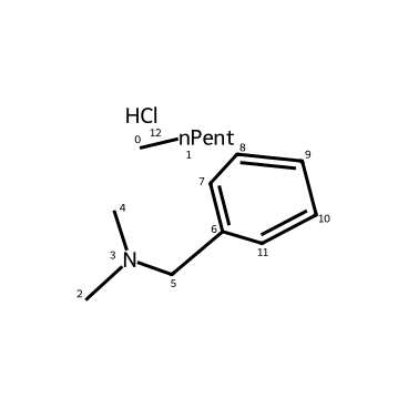 CCCCCC.CN(C)Cc1ccccc1.Cl